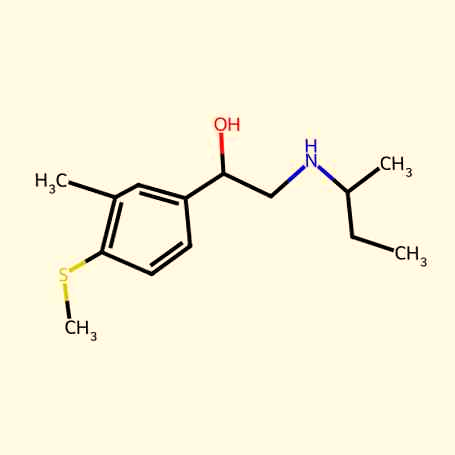 CCC(C)NCC(O)c1ccc(SC)c(C)c1